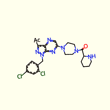 CC(=O)c1nn(Cc2ccc(Cl)cc2Cl)c2nc(N3CCN(C(=O)C4CCCCN4)CC3)cnc12